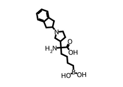 NC(CCCCB(O)O)(C(=O)O)C1CCN(C2Cc3ccccc3C2)C1